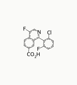 O=C(O)c1ccc2c(F)cnc(-c3c(F)cccc3Cl)c2c1